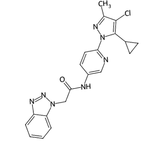 Cc1nn(-c2ccc(NC(=O)Cn3nnc4ccccc43)cn2)c(C2CC2)c1Cl